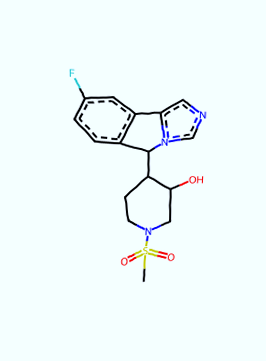 CS(=O)(=O)N1CCC(C2c3ccc(F)cc3-c3cncn32)C(O)C1